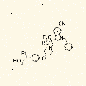 CCC(C(=O)O)c1ccc(OC2CCN(CC(O)(c3cn(Cc4ccccc4)c4cc(C#N)ccc34)C(F)(F)F)CC2)cc1